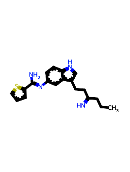 CCCC(=N)CCc1c[nH]c2ccc(N=C(N)c3cccs3)cc12